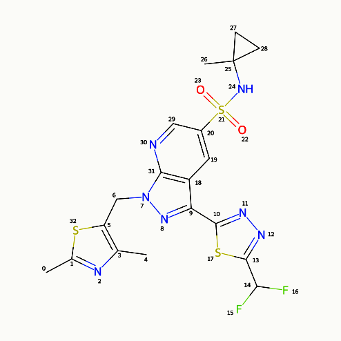 Cc1nc(C)c(Cn2nc(-c3nnc(C(F)F)s3)c3cc(S(=O)(=O)NC4(C)CC4)cnc32)s1